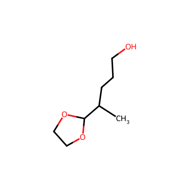 CC(CCCO)C1OCCO1